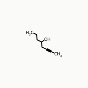 CC#CCC(O)CCC